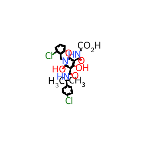 CC(C)(NC(=O)c1c(O)c(C(=O)NCC(=O)O)c(=O)n(Cc2ccccc2Cl)c1O)c1ccc(Cl)cc1